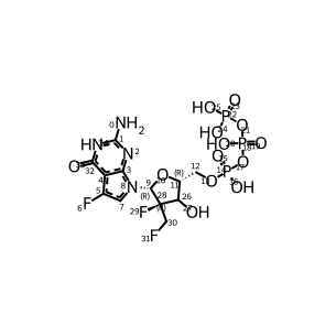 Nc1nc2c(c(F)cn2[C@@H]2O[C@H](COP(=O)(O)OP(=O)(O)OP(=O)(O)O)C(O)[C@]2(F)CF)c(=O)[nH]1